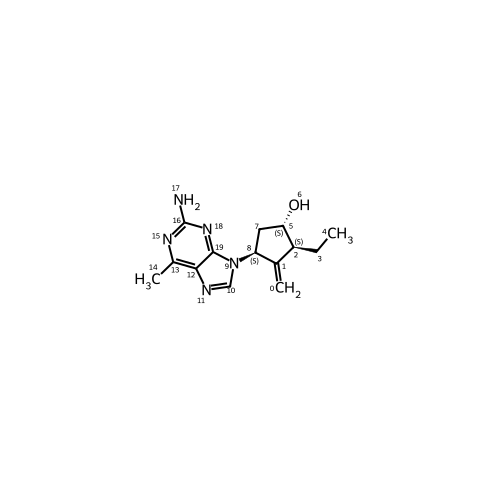 C=C1[C@H](CC)[C@@H](O)C[C@@H]1n1cnc2c(C)nc(N)nc21